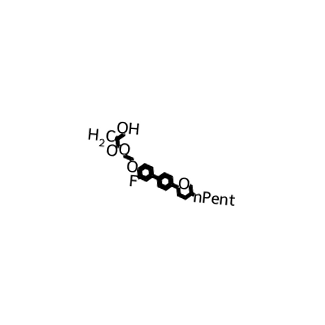 C=C(CO)C(=O)OCCOc1ccc(-c2ccc(C3CCC(CCCCC)CO3)cc2)cc1F